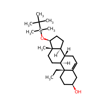 CC[C@]12CC[C@H](O)CC1=CC[C@@H]1[C@@H]2CC[C@]2(C)[C@@H](O[Si](C)(C)C(C)(C)C)CC[C@@H]12